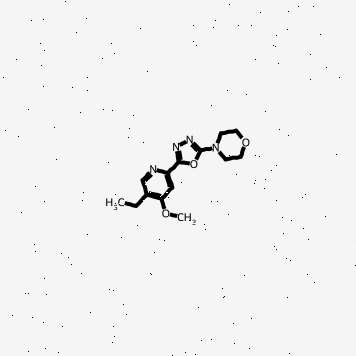 CCc1cnc(-c2nnc(N3CCOCC3)o2)cc1OC